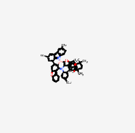 CC(C)(C)c1ccc(N2c3c(oc4cc5c(cc34)C(C)(C)CCC5(C)C)B3c4c(cc5oc6ccccc6c5c42)-c2cc(C(C)(C)C)cc4c5cc(C(C)(C)C)ccc5n3c24)c(-c2ccccc2)c1